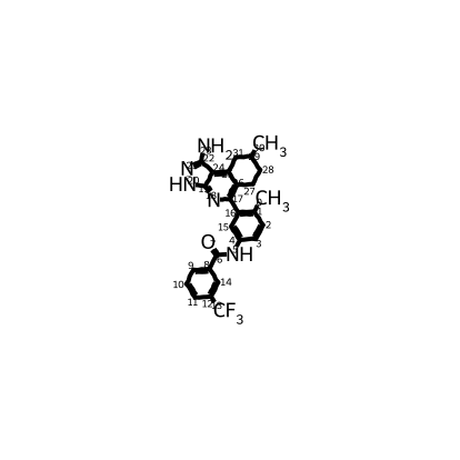 Cc1ccc(NC(=O)c2cccc(C(F)(F)F)c2)cc1-c1nc2[nH]nc(N)c2c2c1CCC(C)C2